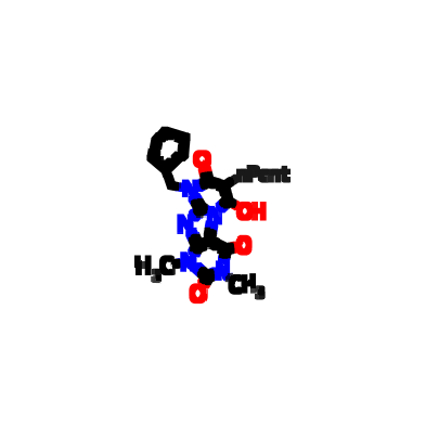 CCCCCc1c(O)n2c3c(=O)n(C)c(=O)n(C)c3nc2n(Cc2ccccc2)c1=O